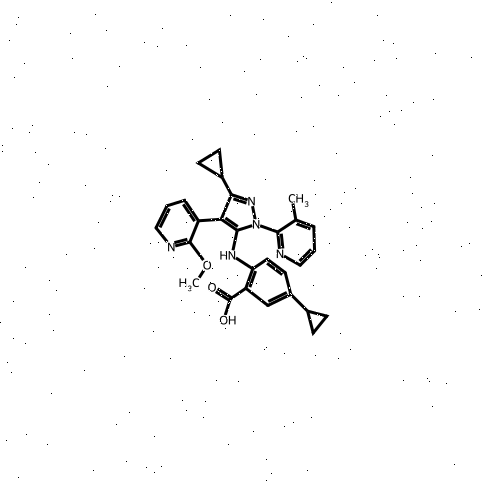 COc1ncccc1-c1c(C2CC2)nn(-c2ncccc2C)c1Nc1ccc(C2CC2)cc1C(=O)O